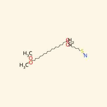 CCOC(CCCCCCCCCCCCCCCCC(=O)O[SiH2]CCCCCSC#N)OCC